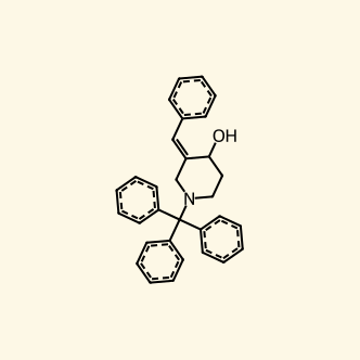 OC1CCN(C(c2ccccc2)(c2ccccc2)c2ccccc2)C/C1=C/c1ccccc1